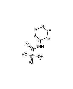 O=P(O)(O)C(=S)NC1CCCCC1